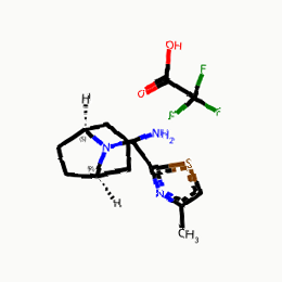 Cc1csc(CN2[C@@H]3CC[C@H]2CC(N)C3)n1.O=C(O)C(F)(F)F